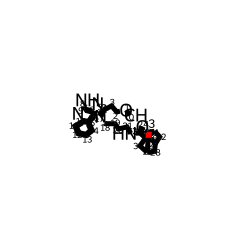 COCCc1nc2c(N)nc3ccccc3c2n1CCCCNC(=O)C12CC3CC(CC(C3)C1)C2